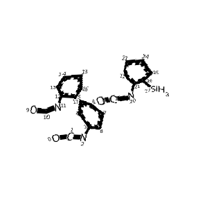 O=C=Nc1ccccc1.O=C=Nc1ccccc1.O=C=Nc1ccccc1[SiH3]